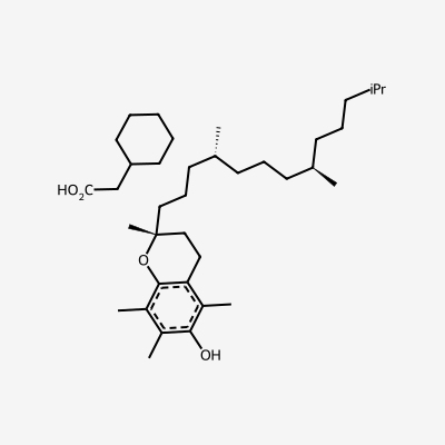 Cc1c(C)c2c(c(C)c1O)CC[C@@](C)(CCC[C@H](C)CCC[C@H](C)CCCC(C)C)O2.O=C(O)CC1CCCCC1